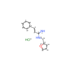 Cl.N=C(/C=C/c1ccccc1)NCc1ccco1